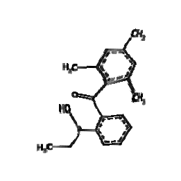 CCP(O)c1ccccc1C(=O)c1c(C)cc(C)cc1C